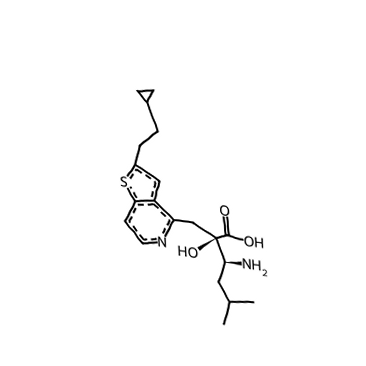 CC(C)C[C@H](N)[C@](O)(Cc1nccc2sc(CCC3CC3)cc12)C(=O)O